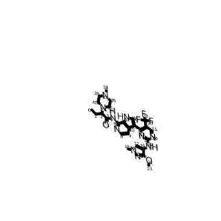 CCC(C(=O)Nc1nccc2c(-c3nc(Nc4cn(C)nc4OC)ncc3C(F)(F)F)c[nH]c12)N1CCN(C)CC1